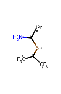 CC(C)C(N)SC(C(F)(F)F)C(F)(F)F